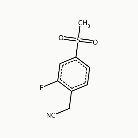 CS(=O)(=O)c1ccc(CC#N)c(F)c1